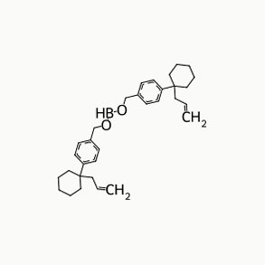 C=CCC1(c2ccc(COBOCc3ccc(C4(CC=C)CCCCC4)cc3)cc2)CCCCC1